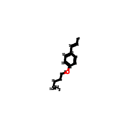 C/C=C/c1ccc(OCCC[SiH3])cc1